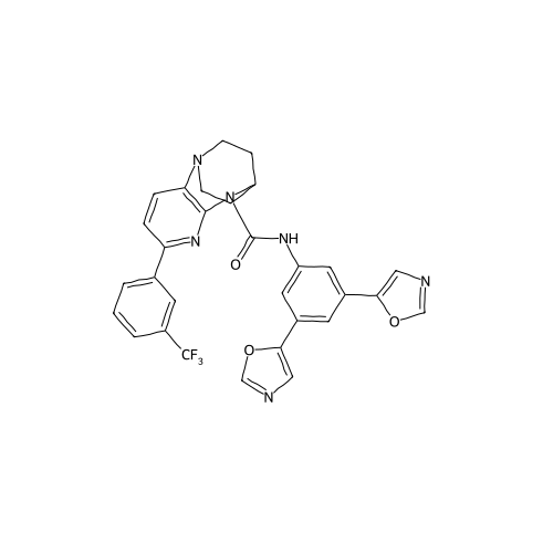 O=C(Nc1cc(-c2cnco2)cc(-c2cnco2)c1)N1c2nc(-c3cccc(C(F)(F)F)c3)ccc2N2CCC1CC2